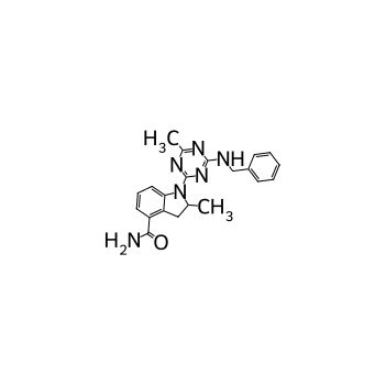 Cc1nc(NCc2ccccc2)nc(N2c3cccc(C(N)=O)c3CC2C)n1